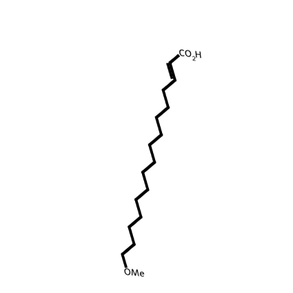 COCCCCCCCCCCCCCC=CC(=O)O